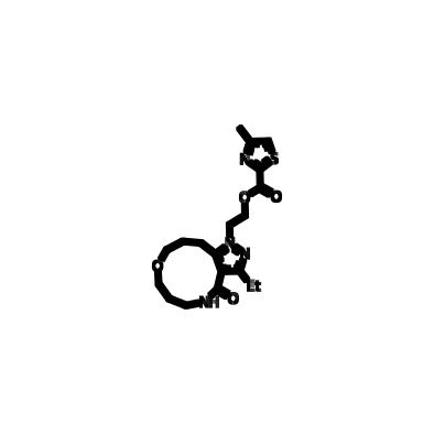 CCc1nn(CCOC(=O)c2nc(C)cs2)c2c1C(=O)NCCCOCCC2